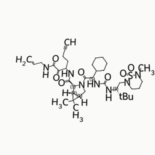 C#CCCC(NC(=O)[C@@H]1[C@@H]2[C@H](CN1C(=O)[C@@H](NC(=O)N[C@H](CN1CCCN(C)S1(=O)=O)C(C)(C)C)C1CCCCC1)C2(C)C)C(=O)C(=O)NCC=C